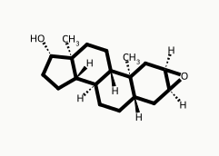 C[C@]12C[C@H]3O[C@H]3C[C@@H]1CC[C@@H]1[C@@H]2CC[C@]2(C)[C@@H](O)CC[C@@H]12